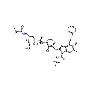 COC(=O)N[C@@H](CC/C=C/C(=O)N(C)C)C(=O)Nc1cccn(Cc2nc3c(OCc4ccccc4)c(F)c(F)cc3n2C(=O)OC(C)(C)C)c1=O